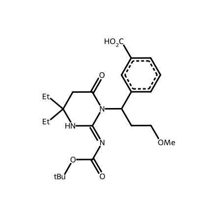 CCC1(CC)CC(=O)N(C(CCOC)c2cccc(C(=O)O)c2)C(=NC(=O)OC(C)(C)C)N1